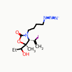 C=C(I)[C@H]1N(CCCCN=[N+]=[N-])C(=O)O[C@]1(C)C(O)CC